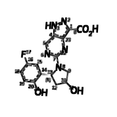 O=C(O)c1n[nH]c2cnc(N3CC(O)C[C@@H]3c3cc(F)ccc3O)nc12